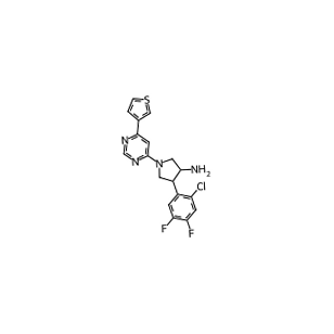 NC1CN(c2cc(-c3ccsc3)ncn2)CC1c1cc(F)c(F)cc1Cl